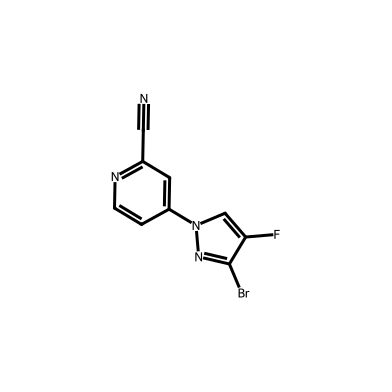 N#Cc1cc(-n2cc(F)c(Br)n2)ccn1